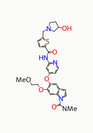 CNC(=O)n1ccc2cc(Oc3ccnc(NC(=O)c4ccc(CN5CC[C@@H](O)C5)s4)c3)c(OCCOC)cc21